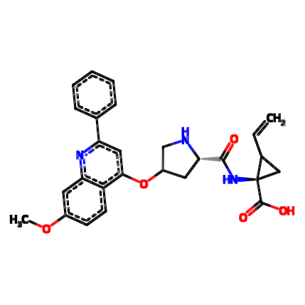 C=CC1C[C@]1(NC(=O)[C@@H]1CC(Oc2cc(-c3ccccc3)nc3cc(OC)ccc23)CN1)C(=O)O